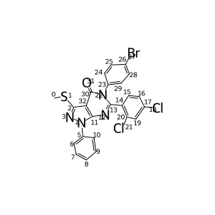 CSc1nn(-c2ccccc2)c2nc(-c3ccc(Cl)cc3Cl)n(-c3ccc(Br)cc3)c(=O)c12